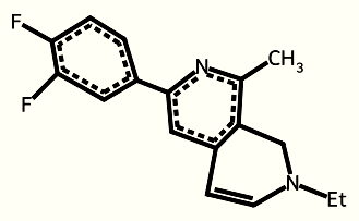 CCN1C=Cc2cc(-c3ccc(F)c(F)c3)nc(C)c2C1